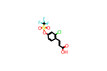 O=C(O)C=Cc1ccc(OS(=O)(=O)C(F)(F)F)cc1Cl